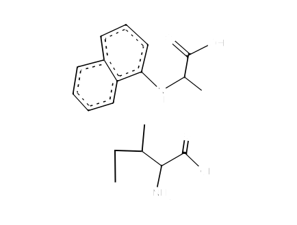 CC(Nc1cccc2ccccc12)C(=O)O.CCC(C)C(N)C(=O)O